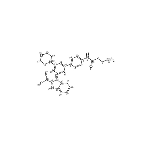 NCCC(=O)Nc1ccc(-c2cc(N3CCOCC3)nc(-n3c(C(F)F)nc4ccccc43)n2)cc1